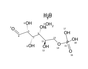 O.O.O.O=C[C@H](O)[C@@H](O)[C@H](O)[C@H](O)COP(=O)(O)O